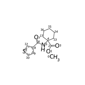 COC(=O)C1(NC(=O)c2ccsc2)CCCCC1